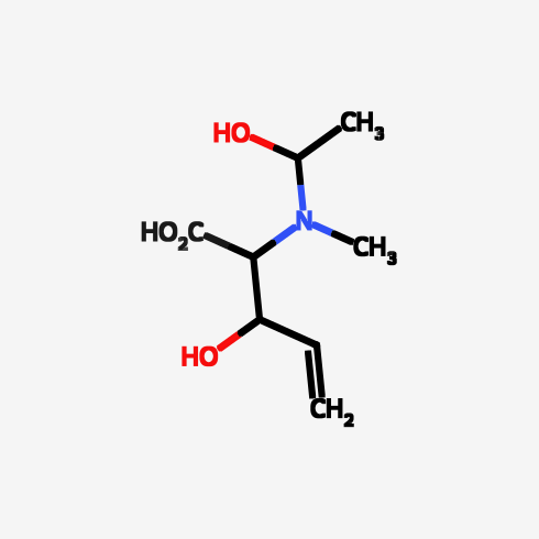 C=CC(O)C(C(=O)O)N(C)C(C)O